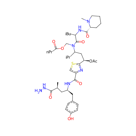 CCCC(=O)OCN(C(=O)C(NC(=O)[C@H]1CCCCN1C)C(C)CC)C(C[C@@H](OC(C)=O)c1nc(C(=O)N[C@@H](Cc2ccc(O)cc2)C[C@H](C)C(=O)NN)cs1)C(C)C